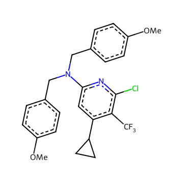 COc1ccc(CN(Cc2ccc(OC)cc2)c2cc(C3CC3)c(C(F)(F)F)c(Cl)n2)cc1